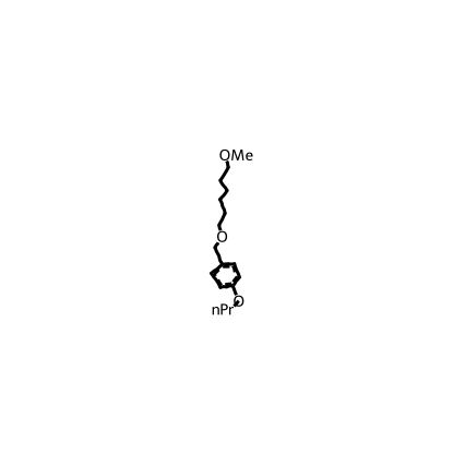 CCCOc1ccc(COCCCCCCOC)cc1